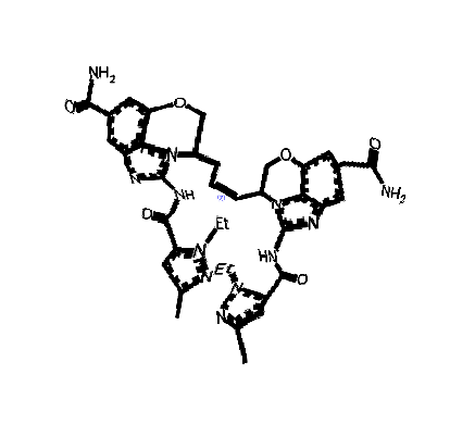 CCn1nc(C)cc1C(=O)Nc1nc2cc(C(N)=O)cc3c2n1C(/C=C\CC1COc2cc(C(N)=O)cc4nc(NC(=O)c5cc(C)nn5CC)n1c24)CO3